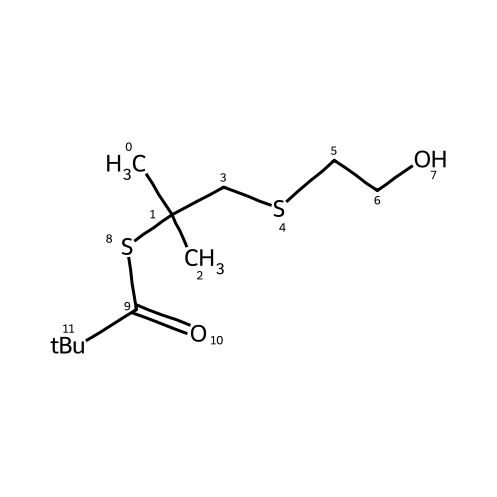 CC(C)(CSCCO)SC(=O)C(C)(C)C